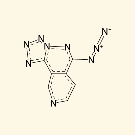 [N-]=[N+]=Nc1nn2nnnc2c2cnccc12